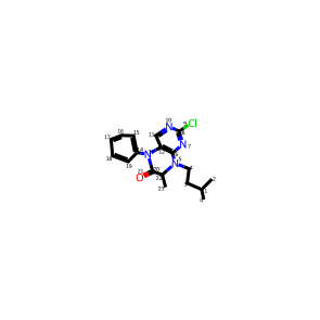 CC(C)CCN1c2nc(Cl)ncc2N(c2ccccc2)C(=O)C1C